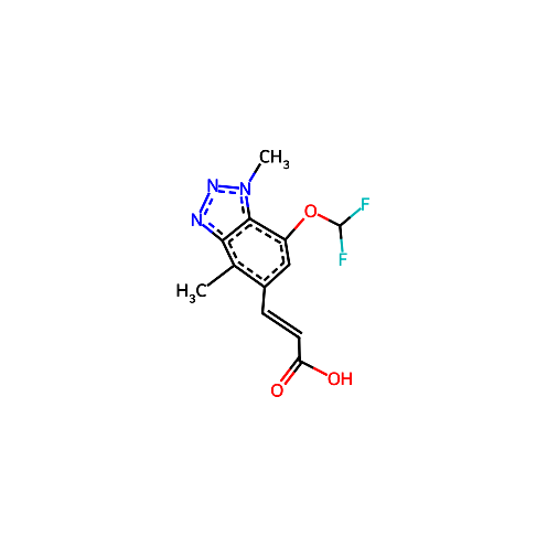 Cc1c(/C=C/C(=O)O)cc(OC(F)F)c2c1nnn2C